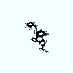 O=C(O)c1cncc(C2=C(c3cc(F)ccc3OCc3ccccc3)CCC2)n1